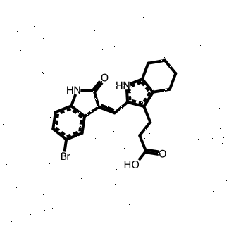 O=C(O)CCc1c(C=C2C(=O)Nc3ccc(Br)cc32)[nH]c2c1CCCC2